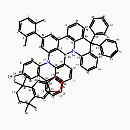 Cc1cccc(C)c1-c1cc2c3c(c1)N(c1ccc(C(C)(C)C)cc1-c1ccccc1)c1c(ccc4oc5cc6c(cc5c14)C(C)(C)CCC6(C)C)B3N1c3ccccc3C(c3ccccc3)(c3ccccc3)c3cccc-2c31